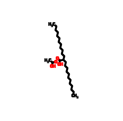 CC(=O)O.CCCCCCCCCCCCC(CCCCCCCCCCCC)C(=O)O